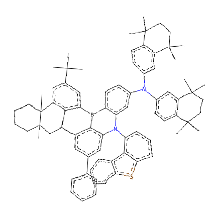 CC(C)(C)c1cc2c3c(c1)C1(C)CCCCC1(C)CC3c1cc(-c3ccccc3)cc3c1B2c1ccc(N(c2ccc4c(c2)C(C)(C)CCC4(C)C)c2ccc4c(c2)C(C)(C)CCC4(C)C)cc1N3c1cccc2sc3ccccc3c12